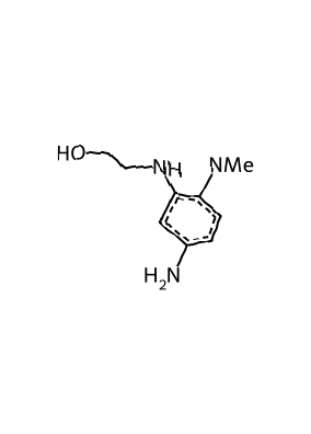 CNc1ccc(N)cc1NCCO